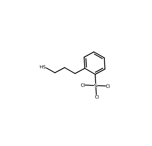 SCCCc1ccccc1[Si](Cl)(Cl)Cl